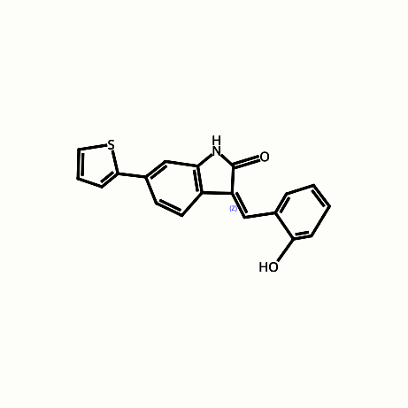 O=C1Nc2cc(-c3cccs3)ccc2/C1=C/c1ccccc1O